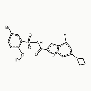 CC(C)Oc1ccc(Br)cc1S(=O)(=O)NC(=O)c1cc2c(F)cc(N3CCC3)cc2o1